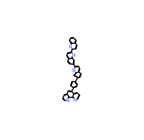 c1ccc2nc(-c3ccc4ccc(-c5ccc6ccc(-c7ccc(-c8cc9cccnc9c9ncccc89)cc7)cc6n5)cc4n3)ccc2c1